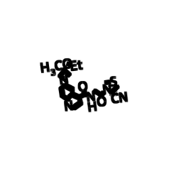 CCOC1(C)CN(c2ccc3nccc(C(=O)NCC(=O)N4CSC[C@H]4C#N)c3c2)C1